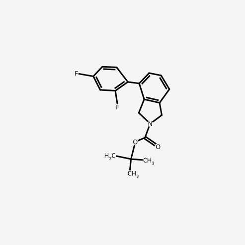 CC(C)(C)OC(=O)N1Cc2cccc(-c3ccc(F)cc3F)c2C1